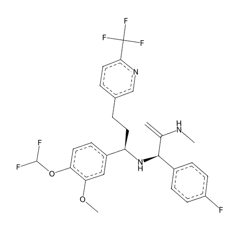 C=C(NC)[C@H](N[C@H](CCc1ccc(C(F)(F)F)nc1)c1ccc(OC(F)F)c(OC)c1)c1ccc(F)cc1